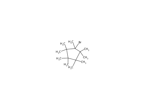 CC1(C)C(C)(C)C(C)(C)C(C)(Br)C1(C)C